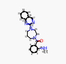 CCNc1ccccc1C(=O)N1CCCN(c2ncc3ccccc3n2)CC1